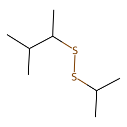 CC(C)SSC(C)C(C)C